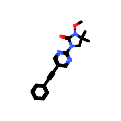 CON1C(=O)N(c2ncc(C#Cc3ccccc3)cn2)CC1(C)C